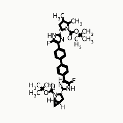 CC1C[C@@H](c2nc(-c3ccc(-c4ccc(C5=C(F)NC([C@@H]6C[C@H]7C[C@H]7N6C(=O)OC(C)(C)C)N5)cc4)cc3)c(F)[nH]2)N(C(=O)OC(C)(C)C)C1C